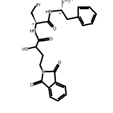 CC(C)C[C@H](NC(=O)C(S)CCN1C(=O)c2ccccc2C1=O)C(=O)N[C@@H](Cc1ccccc1)C(=O)O